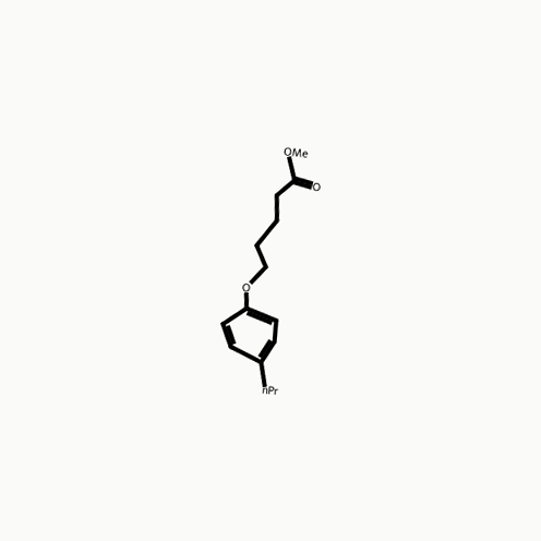 CCCc1ccc(OCCCCC(=O)OC)cc1